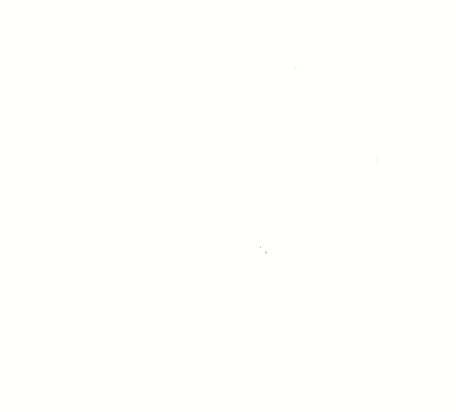 O=C(O)c1cccc(Cl)c1CCCCN1CCC(OC(c2ccccc2)c2ccccc2)CC1